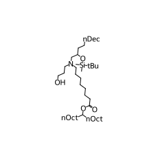 CCCCCCCCCCCCC(CN(CCCO)CCCCCCCC(=O)OC(CCCCCCCC)CCCCCCCC)O[Si](C)(C)C(C)(C)C